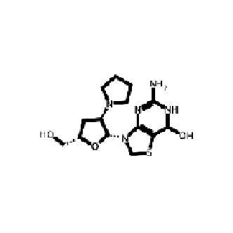 NC1=NC2=C(SCN2[C@@H]2O[C@H](CO)C[C@H]2N2CCCC2)C(O)N1